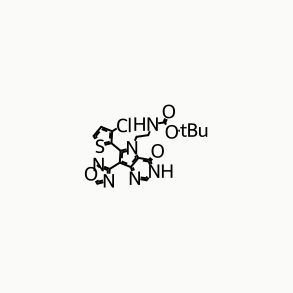 CC(C)(C)OC(=O)NCCn1c(-c2sccc2Cl)c(-c2ncon2)c2nc[nH]c(=O)c21